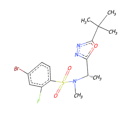 C[C@@H](c1nnc(C(C)(C)C)o1)N(C)S(=O)(=O)c1ccc(Br)cc1F